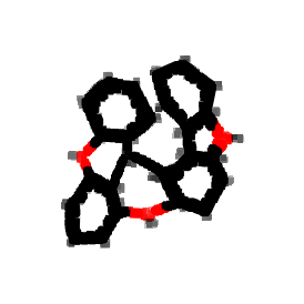 c1ccc2c(c1)Oc1cccc3c1B2c1c(ccc2oc4ccccc4c12)O3